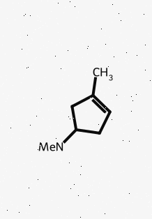 CNC1CC=C(C)C1